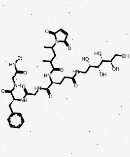 CCNC(=O)CNC(=O)[C@H](Cc1ccccc1)NC(=O)CNC(=O)[C@H](CCC(=O)NC[C@H](O)[C@@H](O)[C@H](O)[C@H](O)CO)NC(=O)C(C)CC(C)N1C(=O)C=CC1=O